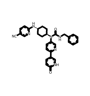 N#Cc1ccc(N[C@H]2CC[C@H](N(C(=O)NCc3ccccc3)c3ccc(-c4ccc(=O)[nH]c4)nc3)CC2)nc1